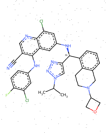 CC(C)n1cc([C@@H](Nc2cc(Cl)c3ncc(C#N)c(Nc4ccc(F)c(Cl)c4)c3c2)c2cccc3c2CCN(C2COC2)C3)nn1